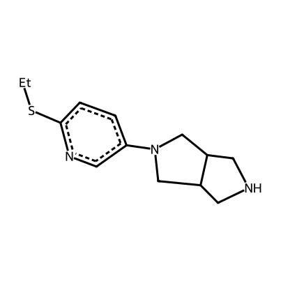 CCSc1ccc(N2CC3CNCC3C2)cn1